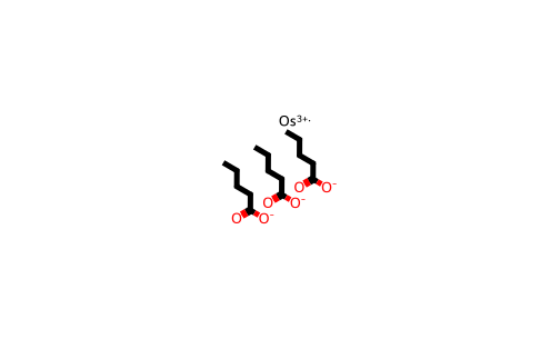 CCCCC(=O)[O-].CCCCC(=O)[O-].CCCCC(=O)[O-].[Os+3]